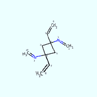 C=CC1(N=C)CC(C=C)(N=C)C1